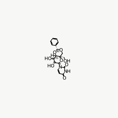 O=c1ccn([C@@H]2O[C@]3(CO)CO[C@@H](c4ccccc4)O[C@H]3[C@H](O)[C@H]2O)c(=O)[nH]1